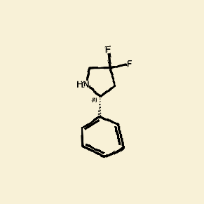 FC1(F)CN[C@@H](c2ccccc2)C1